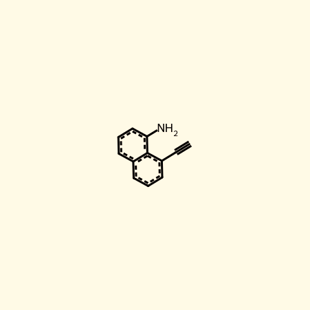 C#Cc1cccc2cccc(N)c12